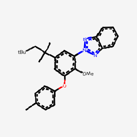 COc1c(Oc2ccc(C)cc2)cc(C(C)(C)CC(C)(C)C)cc1-n1nc2ccccc2n1